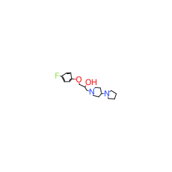 OC(COc1ccc(F)cc1)CN1CCC(N2CCCC2)CC1